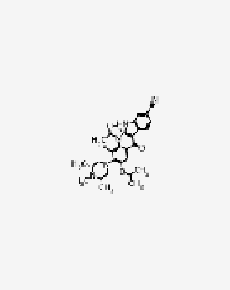 CC(C)Oc1cc2c(=O)c3c4ccc(C#N)cc4[nH]c3n(C(C)C)c2c(F)c1N1C[C@@H](C)N(C)[C@@H](C)C1